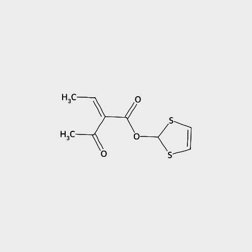 CC=C(C(C)=O)C(=O)OC1SC=CS1